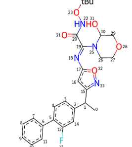 CC(c1ccc(-c2ccccc2)c(F)c1)c1cc(N=C(C(=O)NOC(C)(C)C)N2CCOCC2O)on1